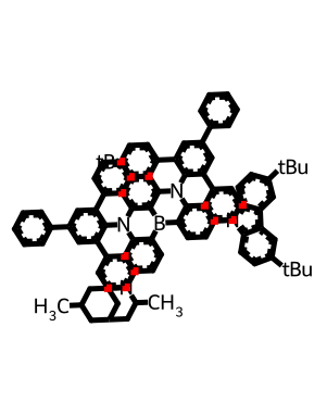 CC1CC2CC(C)N(c3ccc4c(c3)N(c3c(-c5ccccc5)cc(-c5ccccc5)cc3-c3ccccc3)c3cc(C(C)(C)C)cc5c3B4c3ccc(-n4c6ccc(C(C)(C)C)cc6c6cc(C(C)(C)C)ccc64)cc3N5c3c(-c4ccccc4)cc(-c4ccccc4)cc3-c3ccccc3)C(C1)C2